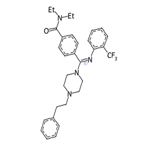 CCN(CC)C(=O)c1ccc(/C(=N\c2ccccc2C(F)(F)F)N2CCN(CCc3ccccc3)CC2)cc1